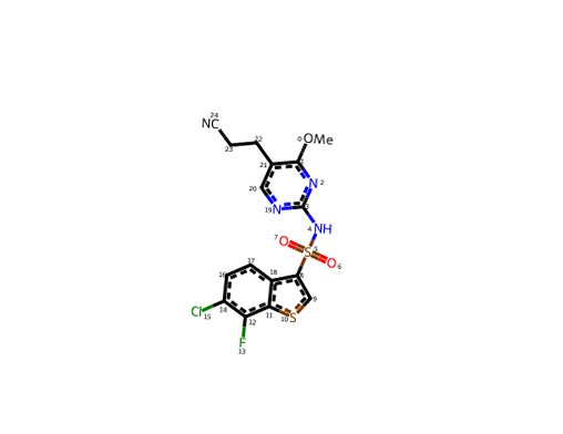 COc1nc(NS(=O)(=O)c2csc3c(F)c(Cl)ccc23)ncc1CCC#N